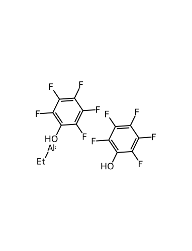 C[CH2][Al].Oc1c(F)c(F)c(F)c(F)c1F.Oc1c(F)c(F)c(F)c(F)c1F